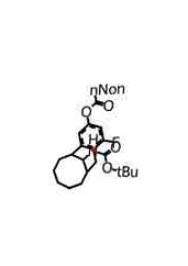 CCCCCCCCCC(=O)Oc1cc(F)c2c(c1)C1CCCCCC(C2)C1NC(=O)OC(C)(C)C